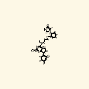 CN(CCCOc1ccccc1-n1cnc(Cl)c1)c1nc(Cl)nc2c1CCC2c1ccc(F)cc1F